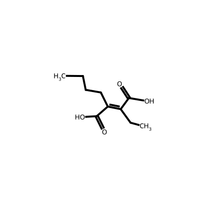 CCCC/C(C(=O)O)=C(/CC)C(=O)O